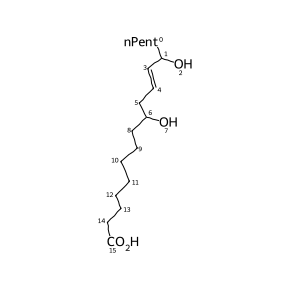 CCCCCC(O)C=CCC(O)CCCCCCCC(=O)O